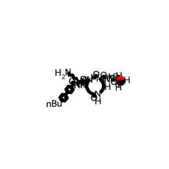 CCCCc1ccc(-c2ccc(C(=O)N[C@@H](CCCCN)C(=O)N[C@H]3CCCC(=O)NCCCC[C@@H](C(=O)N[C@@H](C)B4O[C@@H]5C[C@@H]6C[C@@H](C6(C)C)[C@]5(C)O4)NC(=O)[C@H](C)NC3=O)cc2)cc1